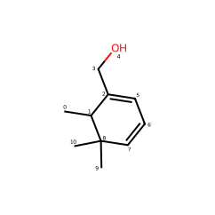 CC1C(CO)=CC=CC1(C)C